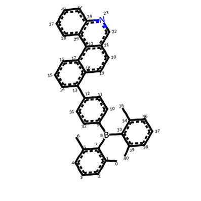 Cc1cccc(C)c1B(c1ccc(-c2cccc3c2ccc2cnc4ccccc4c23)cc1)c1c(C)cccc1C